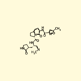 C/N=C\[C@H](C[C@@H]1CCNC1=O)NC(=O)[C@@H]1CCc2ccc(NC(=O)c3cc(C)on3)c(=O)n21